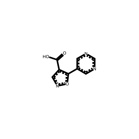 O=C(O)c1cnoc1-c1cncnc1